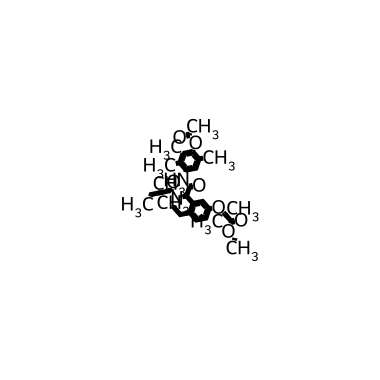 CCOC(=O)C(C)(C)Oc1ccc2c(c1)C(C(=O)Nc1cc(C)c(OC(C)=O)c(C)c1C)N(C(=O)C(C)(C)CC)CC2